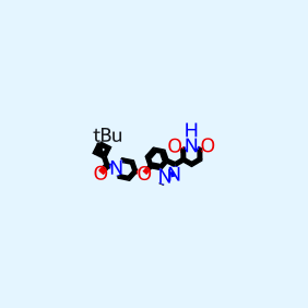 Cn1nc(C2CCC(=O)NC2=O)c2cccc(OC3CCN(C(=O)C45CC(C(C)(C)C)(C4)C5)CC3)c21